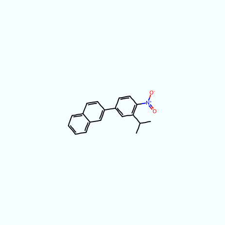 CC(C)c1cc(-c2ccc3ccccc3c2)ccc1[N+](=O)[O-]